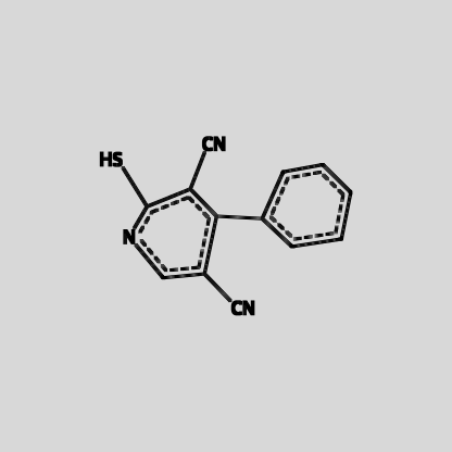 N#Cc1cnc(S)c(C#N)c1-c1ccccc1